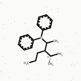 CCCC(C(C)P(c1ccccc1)c1ccccc1)[C@@H](C)P